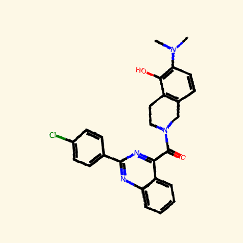 CN(C)c1ccc2c(c1O)CCN(C(=O)c1nc(-c3ccc(Cl)cc3)nc3ccccc13)C2